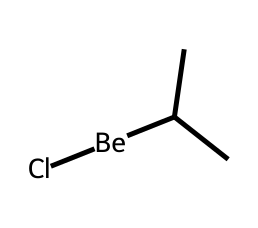 C[CH](C)[Be][Cl]